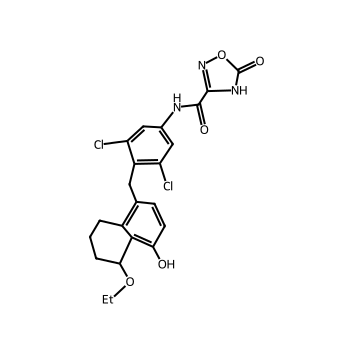 CCOC1CCCc2c(Cc3c(Cl)cc(NC(=O)c4noc(=O)[nH]4)cc3Cl)ccc(O)c21